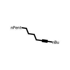 [CH2]CCCC#CCCCCCCCCC